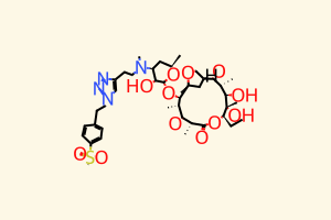 CC[C@H]1OC(=O)[C@H](C)C(=O)[C@H](C)[C@@H](O[C@@H]2O[C@H](C)C[C@H](N(C)CCc3cn(CCc4ccc(S(C)(=O)=O)cc4)nn3)C2O)[C@@]2(C)C[C@@H](CO2)C(=O)[C@H](C)[C@@H](O)[C@]1(C)O